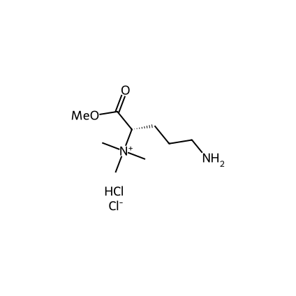 COC(=O)[C@H](CCCN)[N+](C)(C)C.Cl.[Cl-]